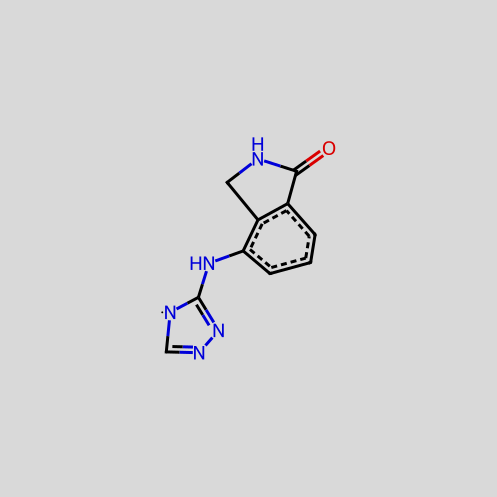 O=C1NCc2c(NC3=NN=C[N]3)cccc21